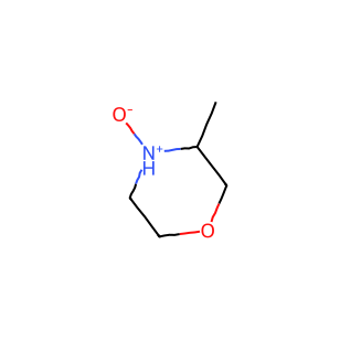 CC1COCC[NH+]1[O-]